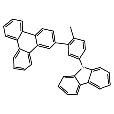 Cc1ccc(-n2c3ccccc3c3ccccc32)cc1-c1ccc2c3ccccc3c3ccccc3c2c1